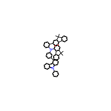 CC1(C)c2ccccc2-c2ccc(-c3ccccc3N(c3cccc(-c4cccc5c4c4ccccc4n5-c4ccccc4)c3)c3cccc4c3-c3ccccc3C4(C)C)cc21